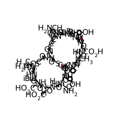 CCCC[C@@H]1NC(=O)[C@H](Cc2ccc(O)cc2)NC(=O)[C@@H]2CCCN2C(=O)[C@H](CC(=O)O)NC(=O)[C@H](C)NC(=O)[C@H](Cc2ccccc2)NCC(=O)[C@@H]2CSCC(=O)N3CN(CN(C3)C(=O)CCSC[C@@H](C(=O)N[C@@H](C)C(N)=O)NC1=O)C(=O)CCSC[C@H](NC(=O)[C@H](C)N)C(=O)N[C@@H]([C@@H](C)CC)C(=O)N[C@@H](CCC(=O)O)C(=O)N[C@@H](CCC(=O)O)C(=O)NCC(=O)N[C@@H](CCC(N)=O)C(=O)N[C@@H](Cc1ccc(O)cc1)C(=O)N2